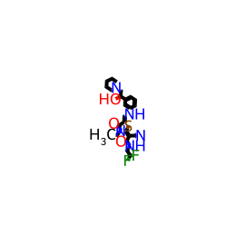 CCn1c(=C(C#N)C(=O)NCC(F)F)sc(=CNc2cccc(C(O)CN3CCCCC3)c2)c1=O